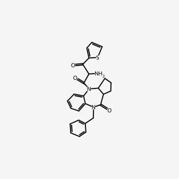 NC(C(=O)c1cccs1)C(=O)N1c2ccccc2N(Cc2ccccc2)C(=O)C2CCCC21